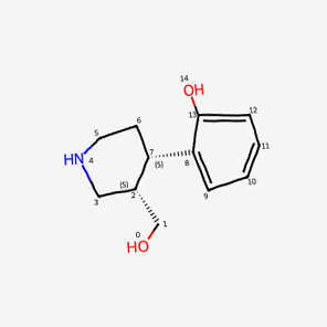 OC[C@@H]1CNCC[C@@H]1c1ccccc1O